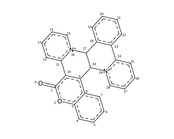 O=c1oc2ccccc2c2c1-c1cccc[n+]1C1c3ccccc3-c3cccc[n+]3C21